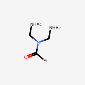 CCC(=O)N(CNC(C)=O)CNC(C)=O